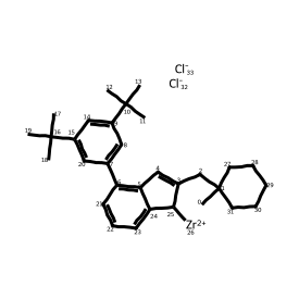 CC1(CC2=Cc3c(-c4cc(C(C)(C)C)cc(C(C)(C)C)c4)cccc3[CH]2[Zr+2])CCCCC1.[Cl-].[Cl-]